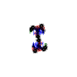 CN[C@@H](C)C(=O)N[C@H](C(=O)N1C[C@@H](NC(=O)c2ccc(-c3ccc(C(=O)N[C@H]4C[C@@H](C(=O)N[C@@H]5CCCc6ccc(F)cc65)N(C(=O)[C@@H](NC(=O)[C@H](C)NC)C5CCCCC5)C4)cc3)cc2)C[C@H]1C(=O)N[C@@H]1CCCc2ccc(F)cc21)C1CCCCC1